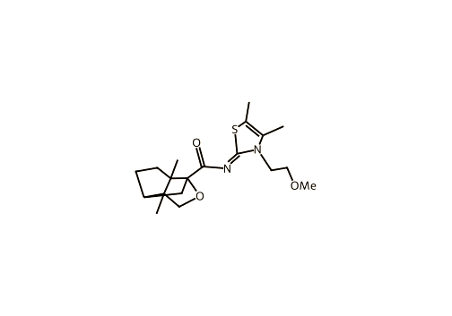 COCCn1c(C)c(C)sc1=NC(=O)C12CC3CCC1(C)C3(C)CO2